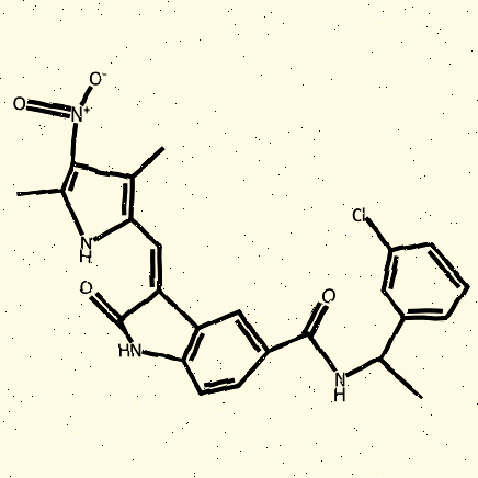 Cc1[nH]c(/C=C2\C(=O)Nc3ccc(C(=O)NC(C)c4cccc(Cl)c4)cc32)c(C)c1[N+](=O)[O-]